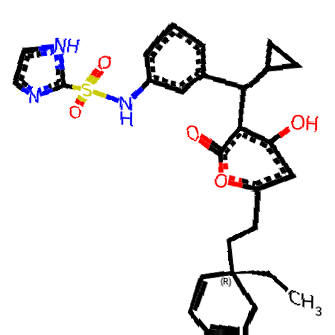 CC[C@]1(CCc2cc(O)c(C(c3cccc(NS(=O)(=O)c4ncc[nH]4)c3)C3CC3)c(=O)o2)C=CC=CC1